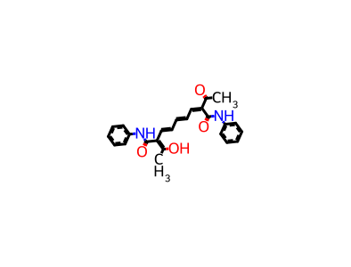 CC(=O)C(=CC=CC=C/C(C(=O)Nc1ccccc1)=C(/C)O)C(=O)Nc1ccccc1